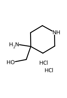 Cl.Cl.NC1(CO)CCNCC1